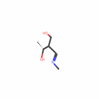 C/N=C/C(CO)[C@@H](C)O